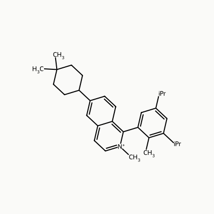 Cc1c(-c2c3ccc(C4CCC(C)(C)CC4)cc3cc[n+]2C)cc(C(C)C)cc1C(C)C